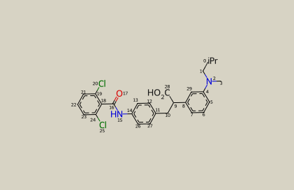 CC(C)CN(C)c1cccc(C(Cc2ccc(NC(=O)c3c(Cl)cccc3Cl)cc2)C(=O)O)c1